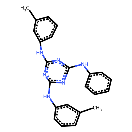 Cc1cccc(Nc2nc(Nc3ccccc3)nc(Nc3cccc(C)c3)n2)c1